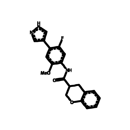 COc1cc(-c2cn[nH]c2)c(F)cc1NC(=O)C1COc2ccccc2C1